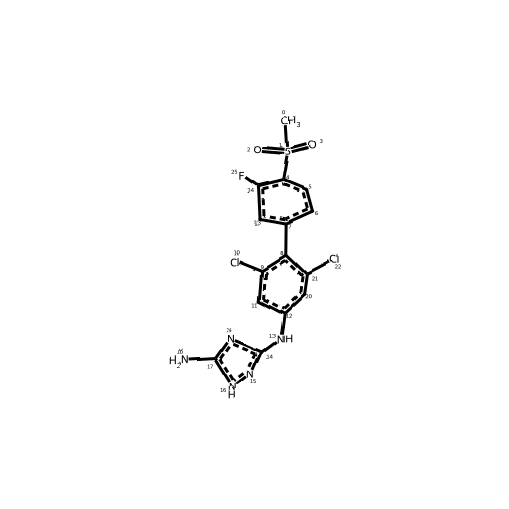 CS(=O)(=O)c1ccc(-c2c(Cl)cc(Nc3n[nH]c(N)n3)cc2Cl)cc1F